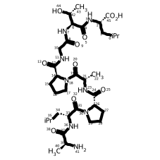 CC(C)C[C@H](NC(=O)[C@@H](NC(=O)CNC(=O)[C@@H]1CCCN1C(=O)[C@H](C)NC(=O)[C@@H]1CCCN1C(=O)[C@@H](CC(C)C)NC(=O)[C@H](C)N)[C@@H](C)O)C(=O)O